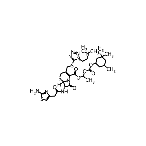 CC1CC(OC(=O)OC(C)OC(=O)C2=C(CSc3nnnn3CCN(C)C)CS[C@H]3[C@H](NC(=O)Cc4csc(N)n4)C(=O)N23)CC(C)(C)C1